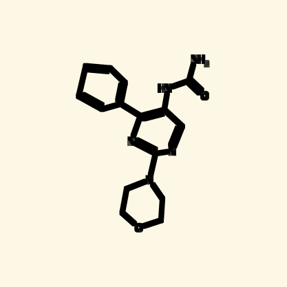 NC(=O)Nc1cnc(N2CCOCC2)nc1-c1ccccc1